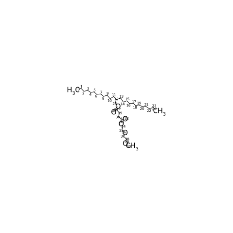 CCCCCCCCCCCCC(CCCCCCCCCCCC)COC(=O)CCC(=O)OCCOCCOC